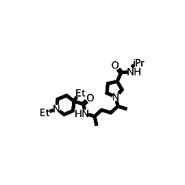 CCN1CCC(CC)(C(=O)NC(C)CCC(C)N2CCC(C(=O)NC(C)C)C2)CC1